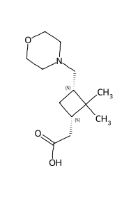 CC1(C)[C@H](CC(=O)O)C[C@@H]1CN1CCOCC1